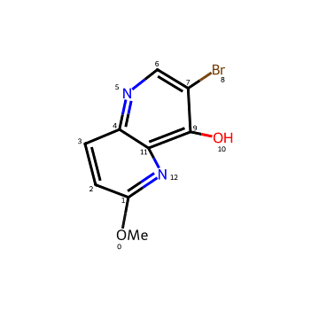 COc1ccc2ncc(Br)c(O)c2n1